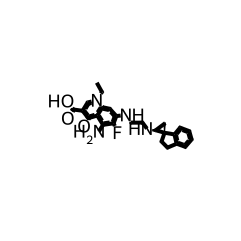 CCn1cc(C(=O)O)c(=O)c2c(N)c(F)c(NCCN[C@@H]3C[C@@]34CCc3ccccc34)cc21